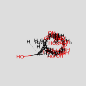 C[C@@H]1O[C@H]2O[C@@H]3[C@@H](OC[C@H](O)[C@@H]3O)OC(=O)[C@]34CCC(C)(C)C[C@H]3C3=CC[C@@H]5[C@@]6(C)C[C@H](O)[C@H](O[C@@H]7O[C@H](CO)[C@@H](O)[C@H](O)[C@@H]7O[C@@H]7O[C@H](COC(=O)C[C@](C)(O)CC(=O)O[C@@H]1[C@@H](O[C@@H]1OC[C@@H](O)[C@H](O)[C@H]1O)[C@H]2O)[C@@H](O)[C@H](O)[C@H]7O)[C@@](C)(CO)[C@@H]6CC[C@@]5(C)[C@]3(C)C[C@H]4O